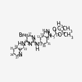 CC(C)(C)OC(=O)Cn1ncc2cc(Nc3ncc(Br)c(NCc4ccccn4)n3)ccc21